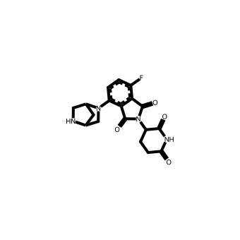 O=C1CCC(N2C(=O)c3c(F)ccc(N4CC5CC4CN5)c3C2=O)C(=O)N1